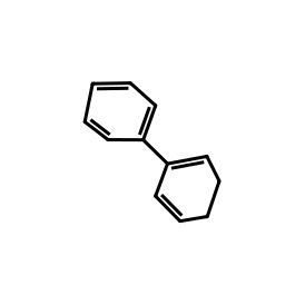 C1=CC(c2ccccc2)=CCC1